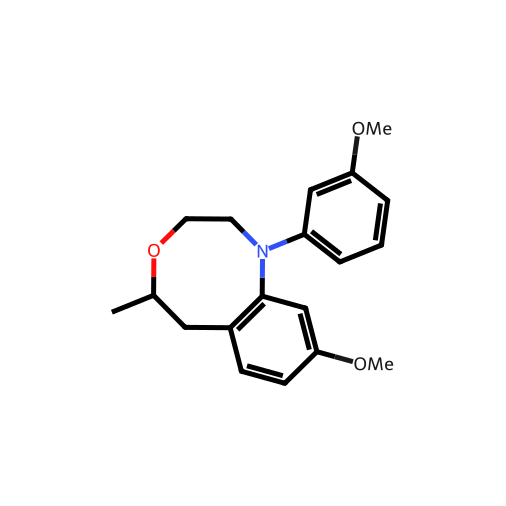 COc1cccc(N2CCOC(C)Cc3ccc(OC)cc32)c1